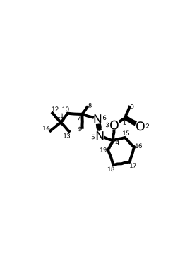 CC(=O)OC1(N=NC(C)(C)CC(C)(C)C)CCCCC1